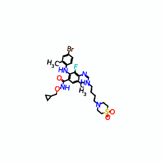 Cc1cc(Br)ccc1Nc1c(C(=O)NOCC2CC2)cc(C)c(/N=C\NCCCCN2CCS(=O)(=O)CC2)c1F